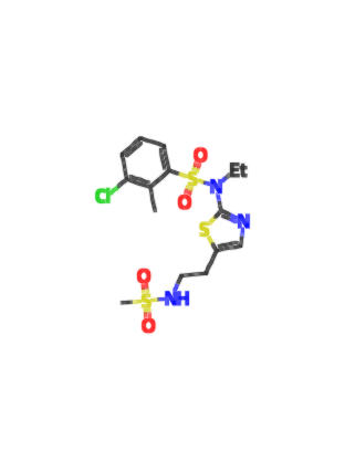 [CH2]CN(c1ncc(CCNS(C)(=O)=O)s1)S(=O)(=O)c1cccc(Cl)c1C